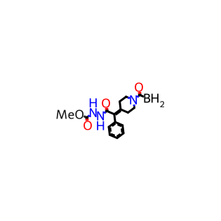 BC(=O)N1CCC(=C(C(=O)NNC(=O)OC)c2ccccc2)CC1